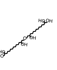 OCC(O)CCCCCCCCCCC(O)CCOCCC(O)CCCCCCCCCCC(O)CO